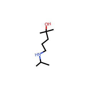 CC(C)NCCCC(C)(C)O